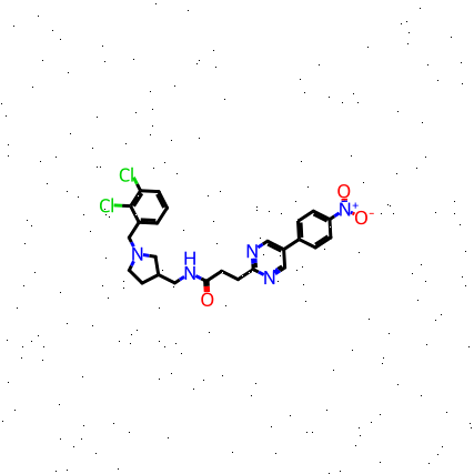 O=C(CCc1ncc(-c2ccc([N+](=O)[O-])cc2)cn1)NCC1CCN(Cc2cccc(Cl)c2Cl)C1